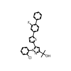 CC(C)(O)c1cc(-c2ccc(-c3ccc(-c4ccccc4)c(F)c3)s2)n(-c2ccccc2Cl)n1